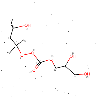 CC(O)CC(C)(C)OOC(=O)OCC(O)CO